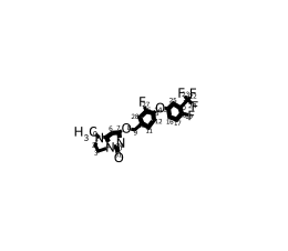 CN1CCn2c1cc(OCc1ccc(Oc3ccc(F)c(C(F)(F)F)c3)c(F)c1)nc2=O